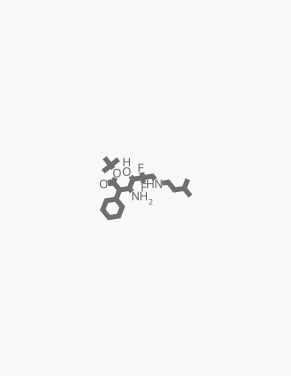 CC(C)CCNCC(F)(F)C(O)C(N)C(C(=O)OC(C)(C)C)C1CCCCC1